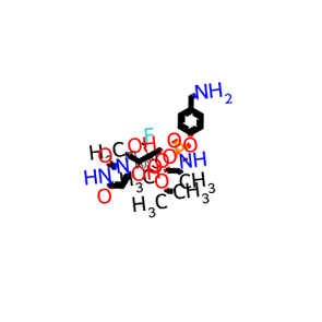 CO[C@](CF)(COP(=O)(NC(C)C(=O)OC(C)C)Oc1ccc(CN)cc1)[C@@H](O)[C@@](C)(O)n1ccc(=O)[nH]c1=O